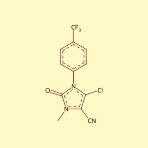 Cn1c(C#N)c(Cl)n(-c2ccc(C(F)(F)F)cc2)c1=O